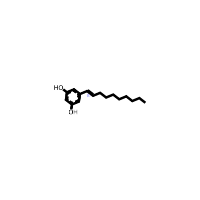 CCCCCCCC/C=C/c1cc(O)cc(O)c1